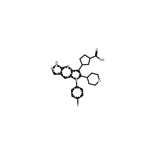 O=C(O)C1CCC(c2c(C3CCOCC3)n(-c3ccc(F)cc3)c3cc4cn[nH]c4nc23)C1